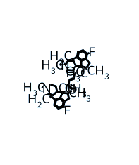 C=Cc1ccc(F)c2c1C(OC(=O)/C=C/C(=O)OC1(C3CCN(C)CC3)c3c(C=C)ccc(F)c3CC1(C)C)(C1CCN(C)CC1)C(C)(C)C2